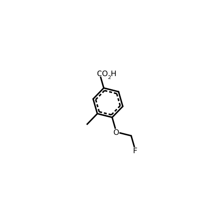 Cc1cc(C(=O)O)ccc1OCF